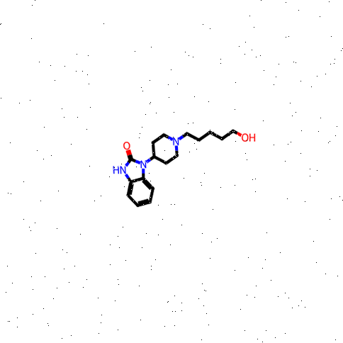 O=c1[nH]c2ccccc2n1C1CCN(CCCCCO)CC1